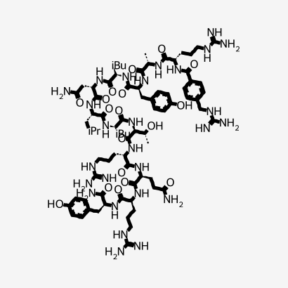 CC[C@H](C)[C@H](NC(=O)[C@H](Cc1ccc(O)cc1)NC(=O)[C@H](C)NC(=O)[C@H](CCCNC(=N)N)NC(=O)c1ccc(CNC(=N)N)cc1)C(=O)N[C@@H](CC(N)=O)C(=O)N[C@@H](CC(C)C)C(=O)N[C@H](C(=O)N[C@H](C(=O)N[C@@H](CCCNC(=N)N)C(=O)N[C@@H](CCC(N)=O)C(=O)N[C@@H](CCCNC(=N)N)C(=O)N[C@@H](Cc1ccc(O)cc1)C(N)=O)[C@@H](C)O)[C@@H](C)CC